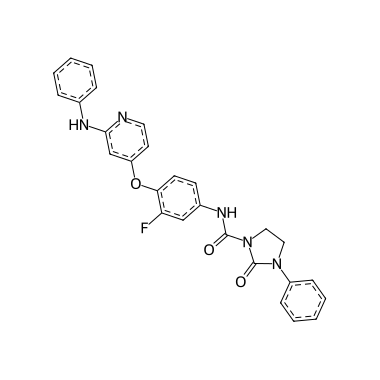 O=C(Nc1ccc(Oc2ccnc(Nc3ccccc3)c2)c(F)c1)N1CCN(c2ccccc2)C1=O